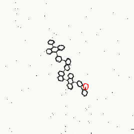 c1ccc(-c2c3ccccc3c(-c3cccc(-c4cccc5ccc(-c6ccc7cccc(-c8c9ccccc9c(-c9ccc%10oc%11ccccc%11c%10c9)c9ccccc89)c7c6)cc45)c3)c3ccccc23)cc1